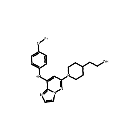 CCOc1ccc(Nc2cc(N3CCC(CCO)CC3)nn3ccnc23)cc1